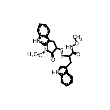 CONC(=O)C(Cc1c[nH]c2ccccc12)SSC(Cc1c[nH]c2ccccc12)C(=O)NOC